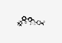 COc1nc(-c2cccc(B3OC(C)(C)C(C)(C)O3)c2Cl)ccc1CNC1CCN(C(C)=O)CC1